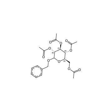 CC(=O)OC[C@H]1OC(OCc2ccccc2)[C@H](OC(C)=O)[C@@H](OC(C)=O)[C@@H]1OC(C)=O